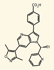 CC[C@@H](c1ccccn1)n1cc(-c2ccc(C(=O)O)cc2)c2ncc(-c3c(C)noc3C)cc21